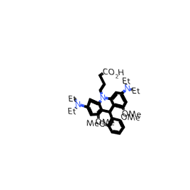 CCN(CC)c1cc(OC)c2c(c1)N(CCCC(=O)O)c1cc(N(CC)CC)cc(OC)c1C2c1c(OC)cccc1OC